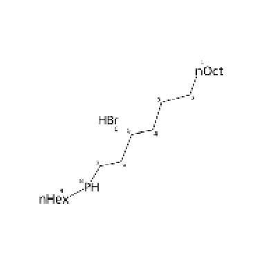 Br.CCCCCCCCCCCCCCPCCCCCC